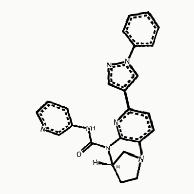 O=C(Nc1cccnc1)N1c2nc(-c3cnn(-c4ccccc4)c3)ccc2N2CC[C@H]1C2